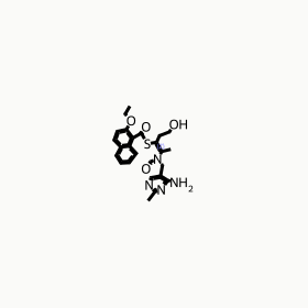 CCOc1ccc2ccccc2c1C(=O)S/C(CCO)=C(/C)N(C=O)Cc1cnc(C)nc1N